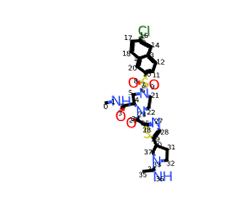 CNC(=O)C1CN(S(=O)(=O)c2ccc3cc(Cl)ccc3c2)CCN1C(=O)c1ncc(C2CCN(C(C)=N)C2)s1